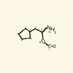 NC(CC1CCCC1)OC=O